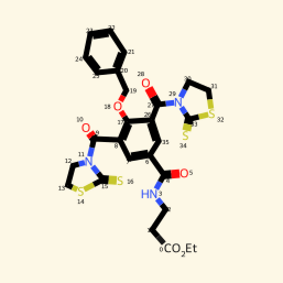 CCOC(=O)CCNC(=O)c1cc(C(=O)N2CCSC2=S)c(OCc2ccccc2)c(C(=O)N2CCSC2=S)c1